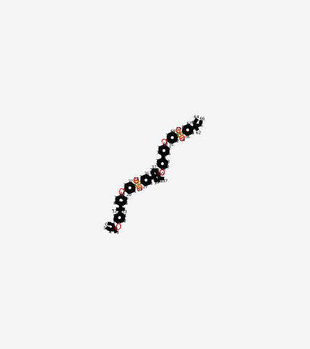 CCC(C)(CC)Oc1ccc(C(C)(C)c2ccc(Oc3ccc(S(=O)(=O)c4ccc(C(CC)(CC)C(CC)(CC)Oc5ccc(-c6ccc(Oc7ccc(S(=O)(=O)c8ccc(C(C)(CC)CC)cc8)cc7)cc6)cc5)cc4)cc3)cc2)cc1